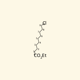 CCOC(=O)CCCCCCCCCCl